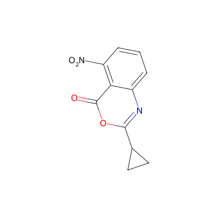 O=c1oc(C2CC2)nc2cccc([N+](=O)[O-])c12